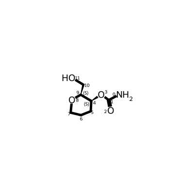 NC(=O)O[C@H]1CCCO[C@H]1CO